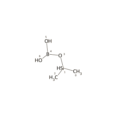 C[SiH](C)OB(O)O